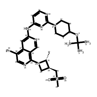 BC(B)(B)OC1CCN(c2nccc(Nc3cc4c(C(C)C)cnc(N5C[C@H](CS(C)(=O)=O)[C@H]5C)c4cn3)n2)CC1